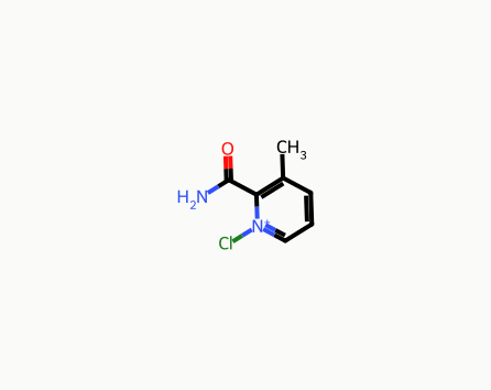 Cc1ccc[n+](Cl)c1C(N)=O